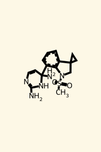 CS(=O)(=O)N1CC2(CC2)c2cccc(C3(N)C=CN=C(N)N3)c21